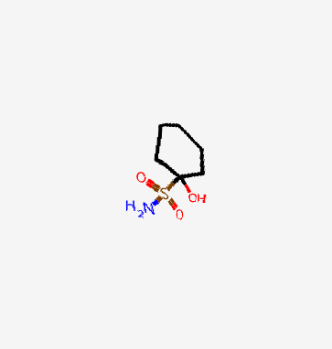 NS(=O)(=O)C1(O)CCCCC1